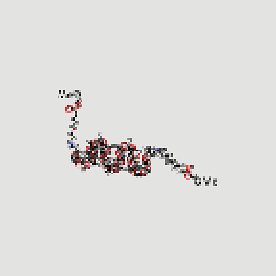 CCCCCC[C@H](C/C=C\CCCCCCCC(=O)OCCOC)O[Si](C)(C)O[Si](C)(C)O[Si](C)(C)O[Si](C)(C)O[Si](C)(C)O[Si](C)(C)O[Si](C)(C)O[Si](C)(C)O[Si](C)(C)O[Si](C)(C)O[Si](C)(C)O[Si](C)(C)O[Si](C)(C)O[Si](C)(C)O[Si](C)(C)O[Si](C)(C)O[Si](C)(C)O[Si](C)(C)O[Si](C)(C)O[Si](C)(C)O[C@@H](C/C=C\CCCCCCCC(=O)OCCOC)CCCCCC